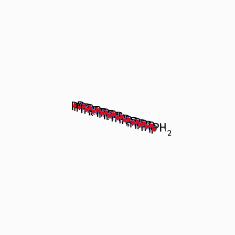 P#P=P\P=P/P=P\P=P/P=P\P=P/P=P\P=P/P=P\P=P/P=P\P=P/P=P\P=P/P=P\P=P/P=P\P=P/P=P\P=P/P=P\P